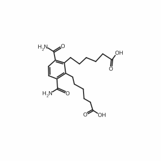 NC(=O)c1ccc(C(N)=O)c(CCCCCC(=O)O)c1CCCCCC(=O)O